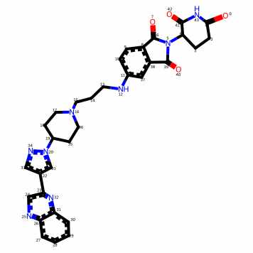 O=C1CCC(N2C(=O)c3ccc(NCCCN4CCC(n5cc(-c6cnc7ccccc7n6)cn5)CC4)cc3C2=O)C(=O)N1